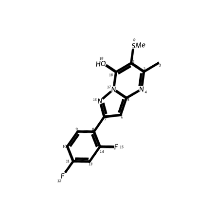 CSc1c(C)nc2cc(-c3ccc(F)cc3F)nn2c1O